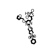 O=C1NC(=O)/C(=C\c2cc(OCc3ccco3)nc(N3CC4CN(S(=O)(=O)c5ccccc5)CC4C3)n2)S1